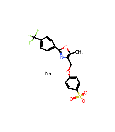 Cc1oc(-c2ccc(C(F)(F)F)cc2)nc1COc1ccc(S(=O)(=O)[O-])cc1.[Na+]